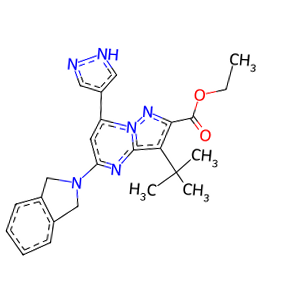 CCOC(=O)c1nn2c(-c3cn[nH]c3)cc(N3Cc4ccccc4C3)nc2c1C(C)(C)C